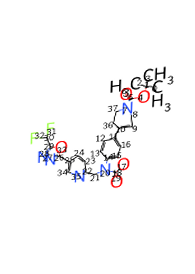 CC(C)(C)OC(=O)N1CC=C(c2ccc3c(c2)oc(=O)n3Cc2ccc(-c3nnc(C(F)F)o3)cn2)CC1